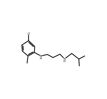 Cc1ccc(Cl)cc1NCCCNCC(C)C